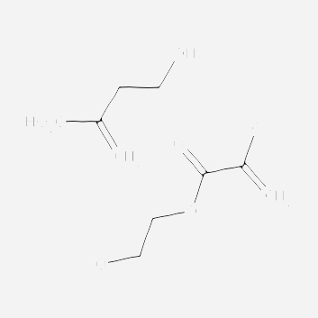 C=C(C)C(=O)OCCO.C=C(CCO)C(=O)O